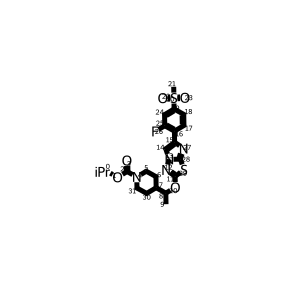 CC(C)OC(=O)N1CCC(C(C)Oc2nn3cc(-c4ccc(S(C)(=O)=O)cc4F)nc3s2)CC1